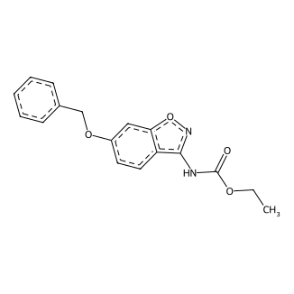 CCOC(=O)Nc1noc2cc(OCc3ccccc3)ccc12